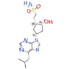 CC(C)Cc1ncnc2c1ncn2[C@@H]1C[C@H](CCS(N)(=O)=O)[C@H](O)C1